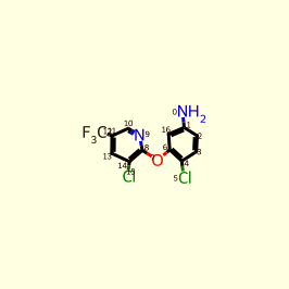 Nc1ccc(Cl)c(Oc2ncc(C(F)(F)F)cc2Cl)c1